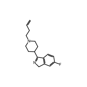 C=CCCN1CCC(C2=NCc3cc(F)ccc32)CC1